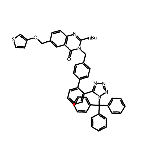 CCCCc1nc2ccc(COc3ccsc3)cc2c(=O)n1Cc1ccc(-c2ccccc2-c2nnnn2C(c2ccccc2)(c2ccccc2)c2ccccc2)cc1